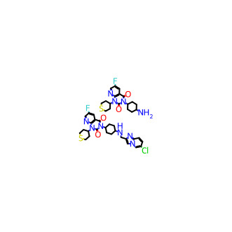 NC1CCC(n2c(=O)c3cc(F)cnc3n(C3CCSCC3)c2=O)CC1.O=c1c2cc(F)cnc2n(C2CCSCC2)c(=O)n1C1CCC(NCc2cn3cc(Cl)ccc3n2)CC1